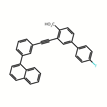 O=C(O)c1ccc(-c2ccc(F)cc2)cc1C#Cc1cccc(-c2cccc3ccccc23)c1